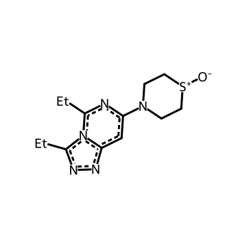 CCc1nnc2cc(N3CC[S+]([O-])CC3)nc(CC)n12